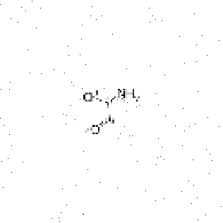 N[C](Cl)C=O